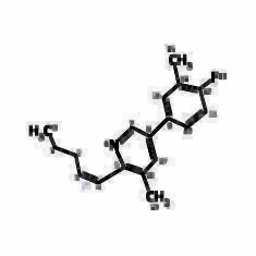 CCC/C=C\c1ncc(-c2ccc(F)c(C)c2)cc1C